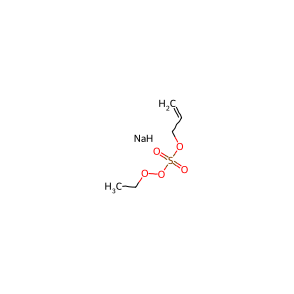 C=CCOS(=O)(=O)OOCC.[NaH]